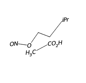 CC(=O)O.CC(C)CCON=O